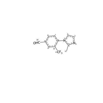 Cc1nccn1-c1ccc(C=O)cc1C(F)(F)F